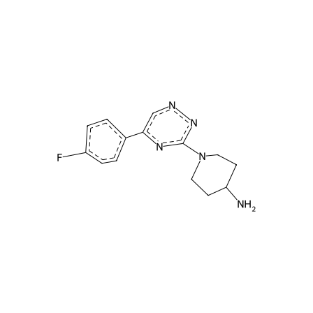 NC1CCN(c2nncc(-c3ccc(F)cc3)n2)CC1